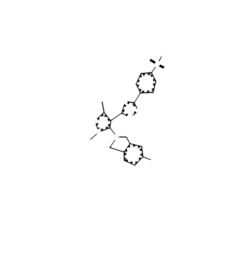 Cc1nn(C)c(N2Cc3ccc(C(F)(F)F)cc3C2)c1-c1nc(-c2ccc(S(N)(=O)=O)cc2)no1